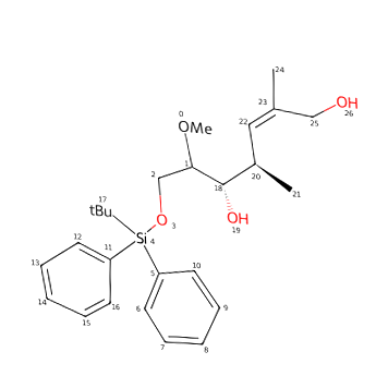 COC(CO[Si](c1ccccc1)(c1ccccc1)C(C)(C)C)[C@@H](O)[C@H](C)/C=C(/C)CO